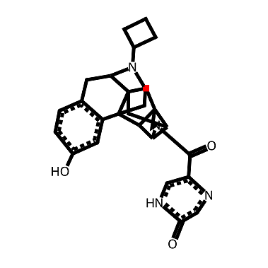 O=C(c1c[nH]c(=O)cn1)N1CC23CC45CC2C1C3C41CCN(C2CCC2)C5Cc2ccc(O)cc21